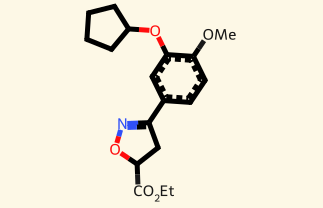 CCOC(=O)C1CC(c2ccc(OC)c(OC3CCCC3)c2)=NO1